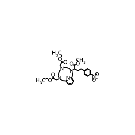 CCOC(=O)CN1CCN(CC(=O)OCC)Cc2cccc(n2)CN(C(CCc2ccc([N+](=O)[O-])cc2)C(=O)OC)CC1